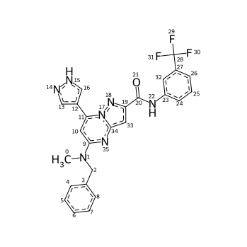 CN(Cc1ccccc1)c1cc(-c2cn[nH]c2)n2nc(C(=O)Nc3cccc(C(F)(F)F)c3)cc2n1